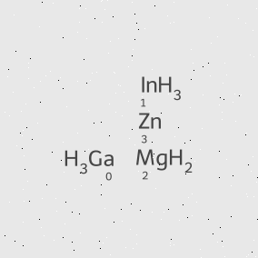 [GaH3].[InH3].[MgH2].[Zn]